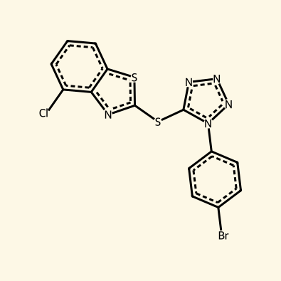 Clc1cccc2sc(Sc3nnnn3-c3ccc(Br)cc3)nc12